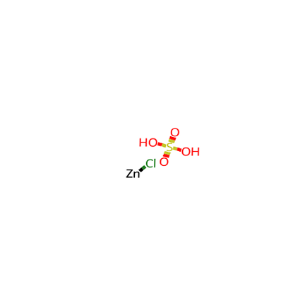 O=S(=O)(O)O.[Cl][Zn]